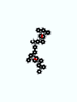 C/C=C\c1c(C)c2cc3c(cc2n1-c1ccc(-c2ccc4c(c2)c2ccc5c6ccccc6n(-c6ccc(-n7c8ccccc8c8c9c%10ccccc%10n(C%10=CC=CCC%10)c9ccc87)cc6)c5c2n4-c2ccccc2)cc1)c1ccccc1n3-c1ccc(-n2c3ccccc3c3ccc4c5ccccc5n(-c5ccccc5)c4c32)cc1